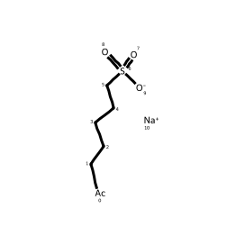 CC(=O)CCCCCS(=O)(=O)[O-].[Na+]